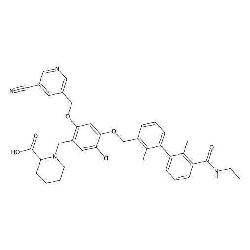 CCNC(=O)c1cccc(-c2cccc(COc3cc(OCc4cncc(C#N)c4)c(CN4CCCCC4C(=O)O)cc3Cl)c2C)c1C